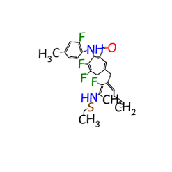 C=CC/C=C(CC1=CC(C=O)=C(Nc2ccc(C)cc2F)C(F)=C(F)C1)\C(F)=C(/C)NSCC